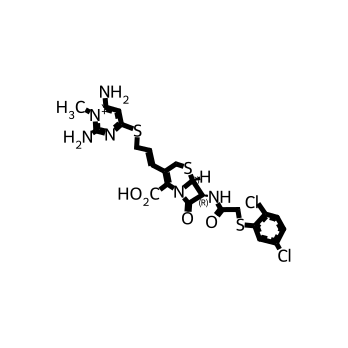 C[n+]1c(N)cc(SCC=CC2=C(C(=O)O)N3C(=O)[C@@H](NC(=O)CSc4cc(Cl)ccc4Cl)[C@H]3SC2)nc1N